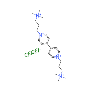 C[N+](C)(C)CCC[n+]1ccc(-c2cc[n+](CCC[N+](C)(C)C)cc2)cc1.[Cl-].[Cl-].[Cl-].[Cl-]